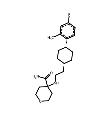 Cc1cc(F)ccc1[C@H]1CC[C@H](CCNC2(C(N)=O)CCOCC2)CC1